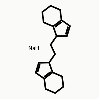 C1=CC(CCC2C=CC3=C2CCCC3)C2=C1CCCC2.[NaH]